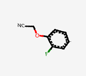 N#CCOc1cc[c]cc1F